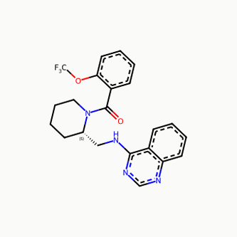 O=C(c1ccccc1OC(F)(F)F)N1CCCC[C@H]1CNc1ncnc2ccccc12